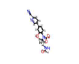 CC(=O)NC[C@@H]1OC(=O)N2c3ccc(-c4ccc(C#N)nc4)cc3OC[C@@H]12